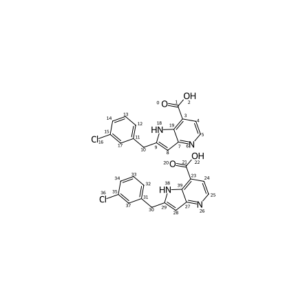 O=C(O)c1ccnc2cc(Cc3cccc(Cl)c3)[nH]c12.O=C(O)c1ccnc2cc(Cc3cccc(Cl)c3)[nH]c12